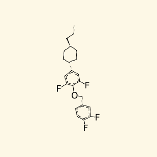 CCC[C@H]1CC[C@H](c2cc(F)c(OCc3ccc(F)c(F)c3)c(F)c2)CC1